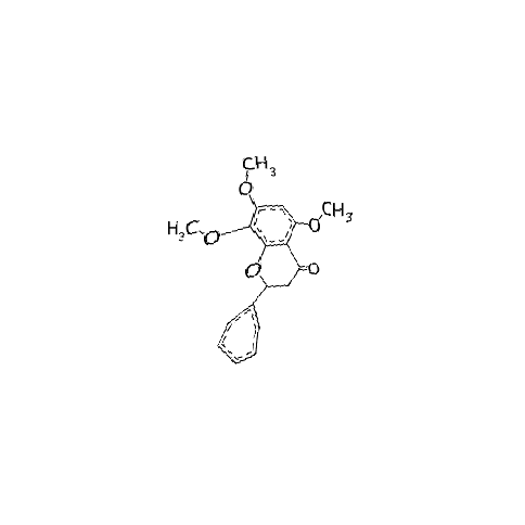 COc1cc(OC)c2c(c1OC)OC(c1ccccc1)CC2=O